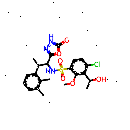 COc1c(S(=O)(=O)NC(c2n[nH]c(=O)o2)C(C)c2cccc(C)c2C)ccc(Cl)c1C(C)O